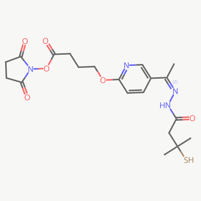 C/C(=N/NC(=O)CC(C)(C)S)c1ccc(OCCCC(=O)ON2C(=O)CCC2=O)nc1